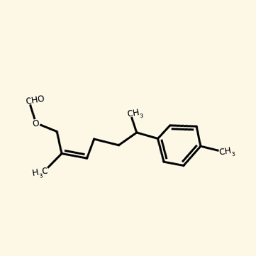 CC(=CCCC(C)c1ccc(C)cc1)COC=O